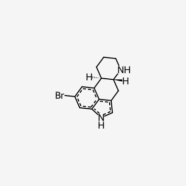 Brc1cc2c3c(c[nH]c3c1)C[C@H]1NCCC[C@H]21